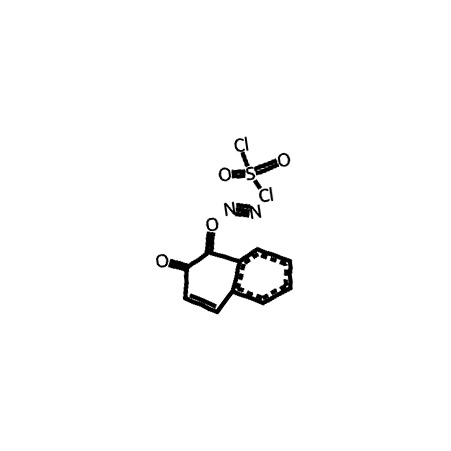 N#N.O=C1C=Cc2ccccc2C1=O.O=S(=O)(Cl)Cl